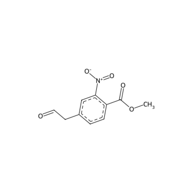 COC(=O)c1ccc(CC=O)cc1[N+](=O)[O-]